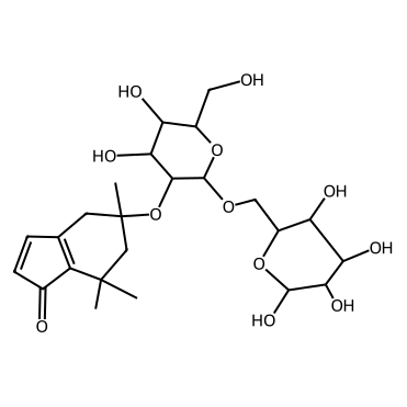 CC1(OC2C(OCC3OC(O)C(O)C(O)C3O)OC(CO)C(O)C2O)CC2=C(C(=O)C=C2)C(C)(C)C1